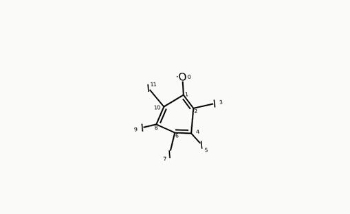 [O]c1c(I)c(I)c(I)c(I)c1I